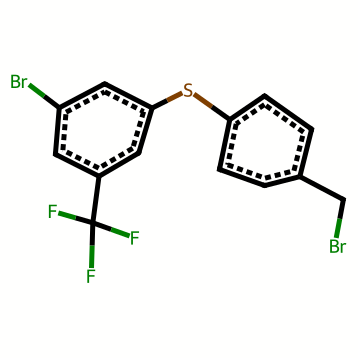 FC(F)(F)c1cc(Br)cc(Sc2ccc(CBr)cc2)c1